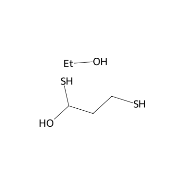 CCO.OC(S)CCS